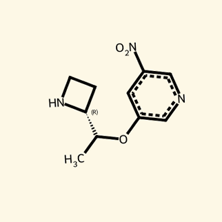 CC(Oc1cncc([N+](=O)[O-])c1)[C@H]1CCN1